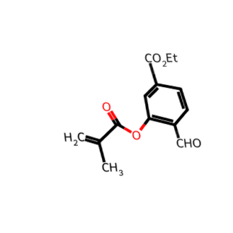 C=C(C)C(=O)Oc1cc(C(=O)OCC)ccc1C=O